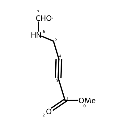 COC(=O)C#CCN[C]=O